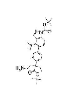 CCC(CCN)(C(=O)OC(C)(C)C)c1ccc(-c2ccc3c(cnn3C(=O)OC(C)(C)C)c2N(C)C)cc1